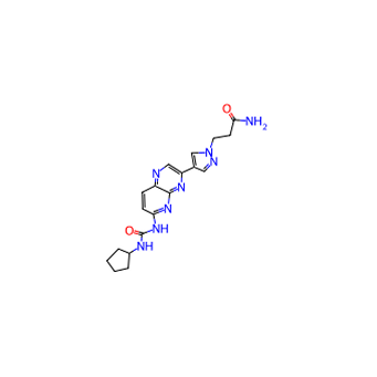 NC(=O)CCn1cc(-c2cnc3ccc(NC(=O)NC4CCCC4)nc3n2)cn1